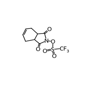 O=C1C2CC=CCC2C(=O)N1OS(=O)(=O)C(F)(F)F